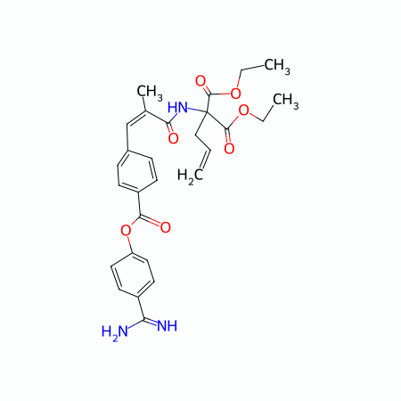 C=CCC(NC(=O)C(C)=Cc1ccc(C(=O)Oc2ccc(C(=N)N)cc2)cc1)(C(=O)OCC)C(=O)OCC